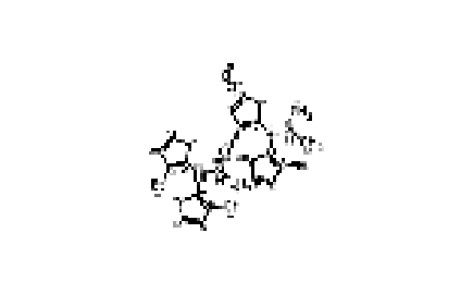 CCC1=[C]([Hf+]([C]2=C(CC)C=CC2)[SiH](C)C)CC=C1.CCC1=[C]([Hf+]([C]2=C(CC)C=CC2)[SiH](C)C)CC=C1.[Cl-].[Cl-]